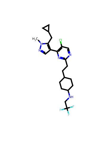 Cn1ncc(-c2nc(CCC3CCC(NCC(F)(F)F)CC3)ncc2Cl)c1CC1CC1